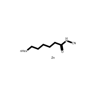 CCCCCCCCCCCC(=O)NC#N.[Zn]